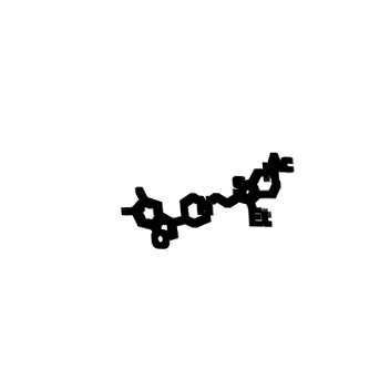 CCc1c(CCN2CCC(c3coc4cc(C)c(C)cc34)CC2)sc2c1CCN(C(C)=O)C2